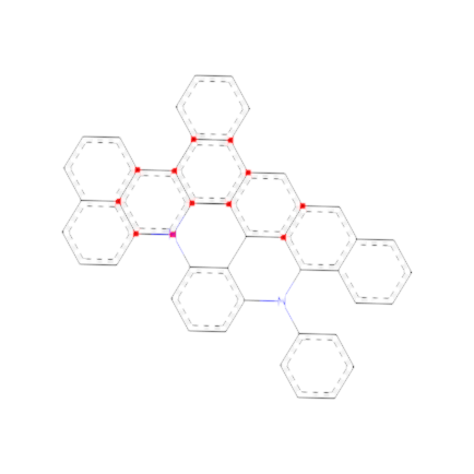 c1ccc(-c2ccccc2-c2ccccc2-c2c(N(c3ccccc3)c3cccc4ccccc34)cccc2N(c2ccccc2)c2cccc3ccccc23)cc1